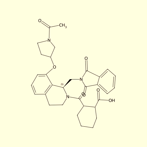 CC(=O)N1CCC(Oc2cccc3c2[C@@H](CN2C(=O)c4ccccc4C2=O)N(C(=O)C2CCCCC2C(=O)O)CC3)C1